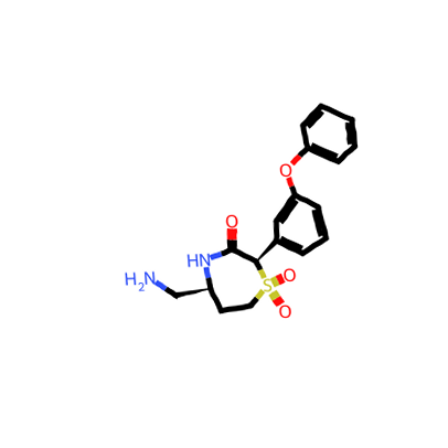 NC[C@@H]1CCS(=O)(=O)[C@H](c2cccc(Oc3ccccc3)c2)C(=O)N1